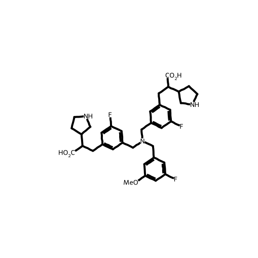 COc1cc(F)cc(CN(Cc2cc(F)cc(CC(C(=O)O)C3CCNC3)c2)Cc2cc(F)cc(CC(C(=O)O)C3CCNC3)c2)c1